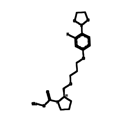 CC(C)(C)OC(=O)N1CCC[C@@H]1COCCCOc1ccc(B2OCCO2)c(F)c1